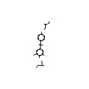 COCC(=O)COc1ccc(C(C)(C)c2cc(Cl)c(OC[C@@](C)(O)CCl)c(Cl)c2)cc1